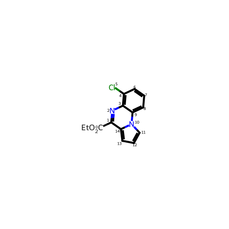 CCOC(=O)c1nc2c(Cl)cccc2n2cccc12